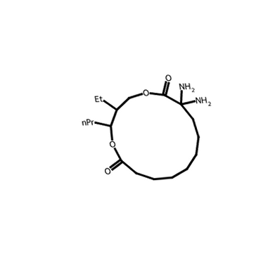 CCCC1OC(=O)CCCCCCCC(N)(N)C(=O)OCC1CC